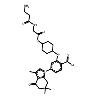 Cc1cn(-c2ccc(C(N)=O)c(NC3CCC(OC(=O)CNC(=O)CCN)CC3)c2)c2c1C(=O)CC(C)(C)C2